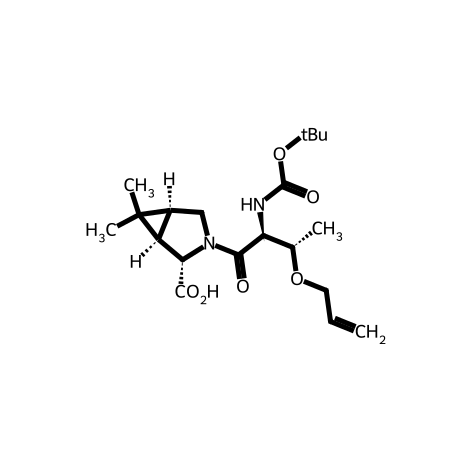 C=CCO[C@@H](C)[C@H](NC(=O)OC(C)(C)C)C(=O)N1C[C@H]2[C@@H]([C@H]1C(=O)O)C2(C)C